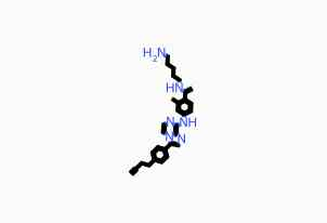 C#CCCc1ccc(-c2cnc3c(Nc4ccc(C(=C)NCCCCCN)c(C)c4)nccn23)cc1